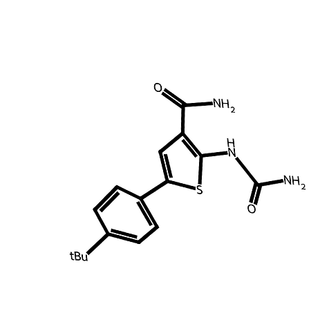 CC(C)(C)c1ccc(-c2cc(C(N)=O)c(NC(N)=O)s2)cc1